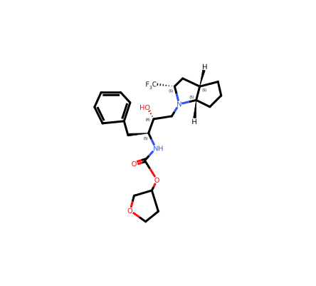 O=C(N[C@@H](Cc1ccccc1)[C@H](O)CN1[C@H](C(F)(F)F)C[C@@H]2CCC[C@@H]21)OC1CCOC1